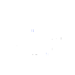 C=Cc1c(CC2C/C3=C/C=C\C(=C)/C=C\C=C\2C3)c(-c2ccccn2)c2c(c1-c1ccccn1)C(CC)C(=C)/C2=C\C=C/Cc1ccccc1